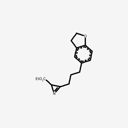 CCOC(=O)C1N=C1CCCc1ccc2c(c1)CCO2